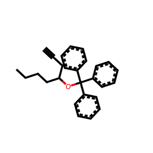 C#CCC(CCCC)OC(c1ccccc1)(c1ccccc1)c1ccccc1